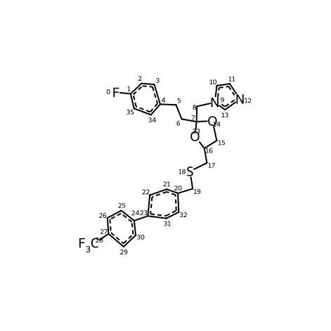 Fc1ccc(CCC2(Cn3ccnc3)OCC(CSCc3ccc(-c4ccc(C(F)(F)F)cc4)cc3)O2)cc1